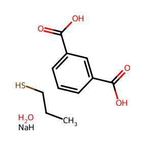 CCCS.O.O=C(O)c1cccc(C(=O)O)c1.[NaH]